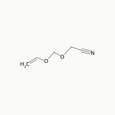 C=COCOCC#N